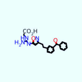 NC(=Nc1cc(CCc2cccc(C(=O)c3ccccc3)c2)no1)NCC(=O)O